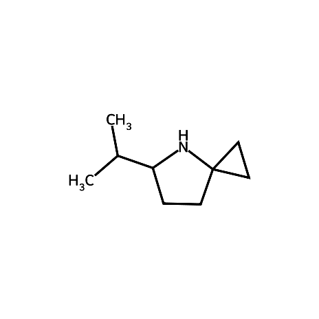 CC(C)C1CCC2(CC2)N1